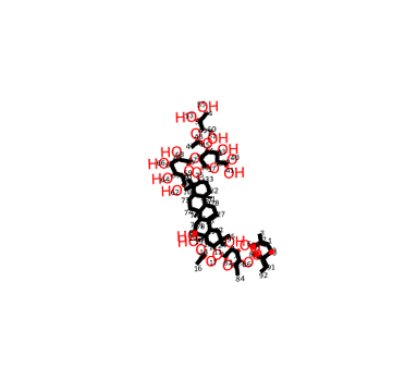 C/C=C(/C)C(=O)OC1C(O)[C@H](O[C@H]2[C@H](OC(C)=O)[C@@]3(CO)C(CC2(C)C)C2=CCC4[C@@]5(C)CC[C@H](O[C@@H]6OC(C(=O)O)[C@@H](O)C(OC(C)O[C@@H](CO)C(O)CO)C6O[C@@H]6OC(CO)[C@H](O)C(O)C6O)C(C)(C)C5CC[C@@]4(C)[C@]2(C)C[C@H]3O)OC(C)[C@@H]1OC(=O)/C(C)=C\C